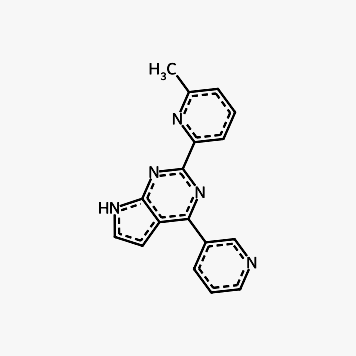 Cc1cccc(-c2nc(-c3cccnc3)c3cc[nH]c3n2)n1